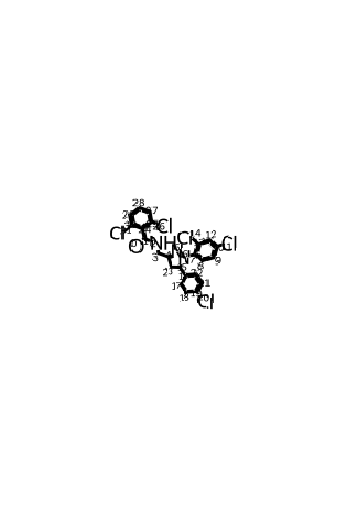 O=C(NCC1=NN(c2ccc(Cl)cc2Cl)C(c2ccc(Cl)cc2)C1)c1c(Cl)cccc1Cl